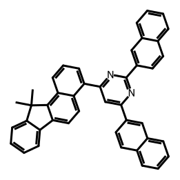 CC1(C)c2ccccc2-c2ccc3c(-c4cc(-c5ccc6ccccc6c5)nc(-c5ccc6ccccc6c5)n4)cccc3c21